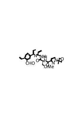 C=C/C(=N\C(=C/C)c1ccc(C=C)c(C=O)c1)NC(=O)[C@H](COC)NC(=O)c1ccn(C2(C)COC2)n1